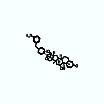 C[C@]12C=CC(=O)C=C1CC[C@@H]1[C@@H]2[C@@H](O)C[C@@]2(C)[C@H]1C[C@H]1O[C@@H](c3ccc(Cc4cccc(N)c4)cc3)OC[C@]12C(=O)CO